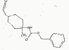 CC1(NC(=O)OCc2ccccc2)CCC(C=O)CC1